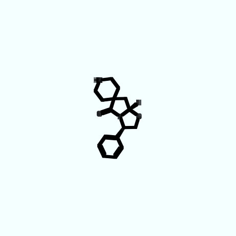 O=C1N2[C@H](CC13CCNCC3)OC[C@H]2c1ccccc1